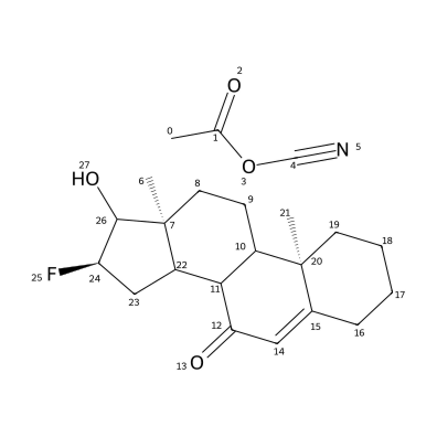 CC(=O)OC#N.C[C@]12CCC3C(C(=O)C=C4CCCC[C@@]43C)C1C[C@@H](F)C2O